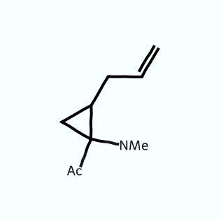 C=CCC1CC1(NC)C(C)=O